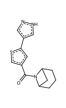 O=C(c1csc(-c2cn[nH]c2)c1)N1C2CCCC1C2